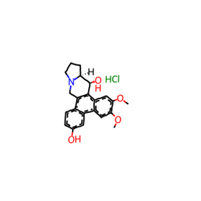 COc1cc2c3c(c4ccc(O)cc4c2cc1OC)CN1CCC[C@H]1[C@H]3O.Cl